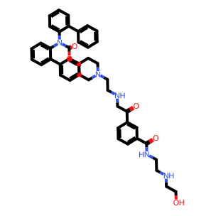 O=C(CNCCN1CCC(OC(=O)N(c2ccccc2-c2ccccc2)c2ccccc2-c2ccccc2)CC1)c1cccc(C(=O)NCCNCCO)c1